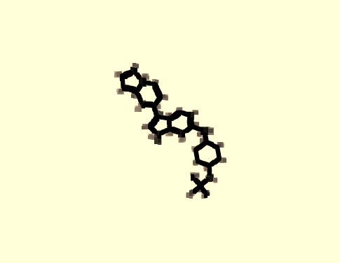 FC(F)(F)OC1CCC(Nc2ncc3c(-c4ccn5nccc5n4)c[nH]c3n2)CC1